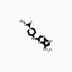 CCOC(=O)c1c[nH]c2ncc(NC3CCN(C(=O)OC(C)(C)C)CC3)nc12